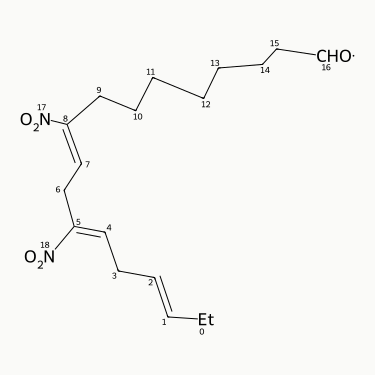 CC/C=C/C/C=C(/C/C=C(/CCCCCCC[C]=O)[N+](=O)[O-])[N+](=O)[O-]